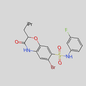 CC(C)CC1Oc2cc(S(=O)(=O)Nc3cccc(F)c3)c(Br)cc2NC1=O